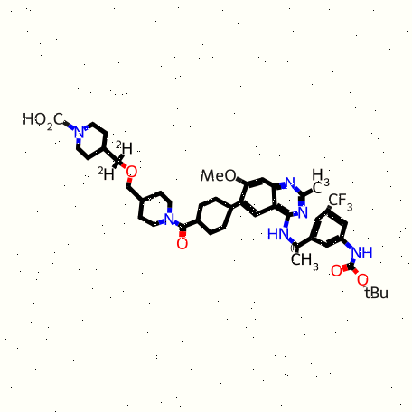 [2H]C([2H])(OCC1CCN(C(=O)C2CCC(c3cc4c(N[C@H](C)c5cc(NC(=O)OC(C)(C)C)cc(C(F)(F)F)c5)nc(C)nc4cc3OC)CC2)CC1)C1CCN(C(=O)O)CC1